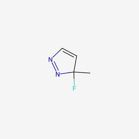 CC1(F)C=CN=N1